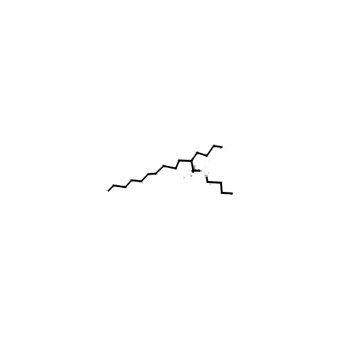 CCCCCCCCCCC(CCCC)C(=O)OCCCC